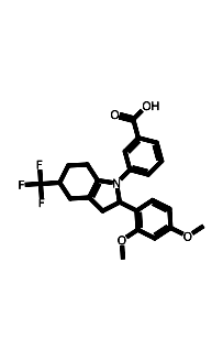 COc1ccc(C2CC3=C(CCC(C(F)(F)F)C3)N2c2cccc(C(=O)O)c2)c(OC)c1